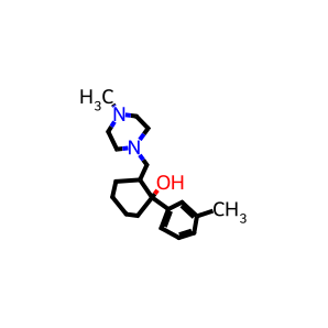 Cc1cccc(C2(O)CCCCC2CN2CCN(C)CC2)c1